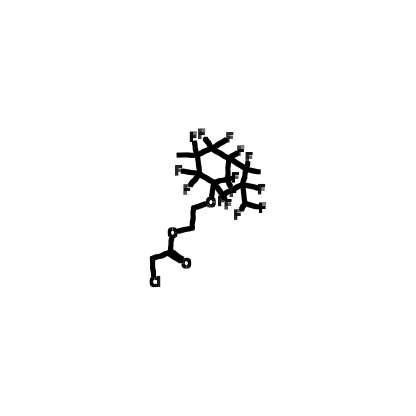 CC1(F)C(F)(F)C2(F)C(C)(F)C(F)(C(F)F)C(F)(F)C(OCCOC(=O)CCl)(C1(F)F)C2(F)F